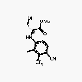 COC(=O)[C@@H](CO)Nc1ccc(C#N)c(C(F)(F)F)c1C